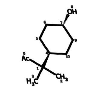 CC(=O)C(C)(C)[C@H]1CC[C@H](O)CC1